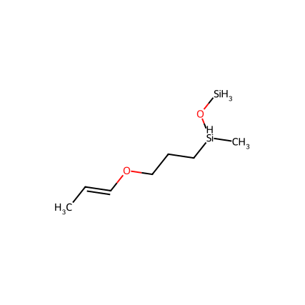 CC=COCCC[SiH](C)O[SiH3]